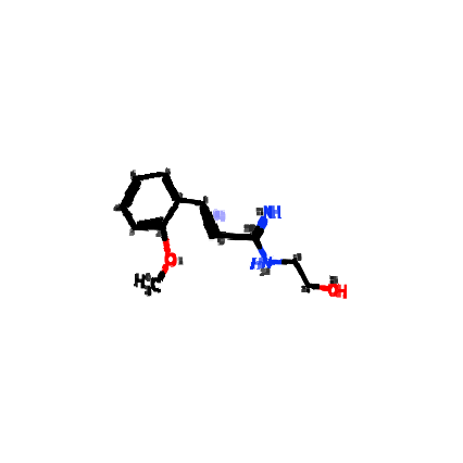 COc1ccccc1/C=C/C(=N)NCCO